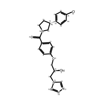 O=C(c1ccc(OC[C@@H](O)Cn2cnnn2)cc1)N1CC[C@H](c2ccc(Cl)cc2)C1